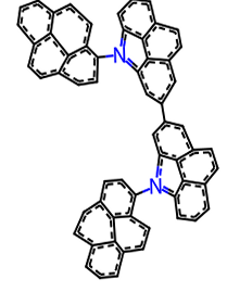 c1cc2ccc3ccc(-n4c5cccc6ccc7cc(-c8cc9ccc%10cccc%11c%10c9c(c8)n%11-c8ccc9ccc%10cccc%11ccc8c9c%10%11)cc4c7c65)c4ccc(c1)c2c34